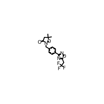 CC1(C)CC(=O)N(Cc2ccc(-c3noc(CC(F)(F)F)n3)cc2)O1